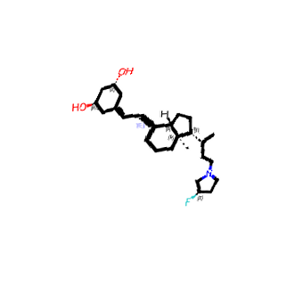 CC(CCN1CC[C@@H](F)C1)[C@H]1CC[C@H]2/C(=C/C=C3C[C@@H](O)C[C@H](O)C3)CCC[C@]12C